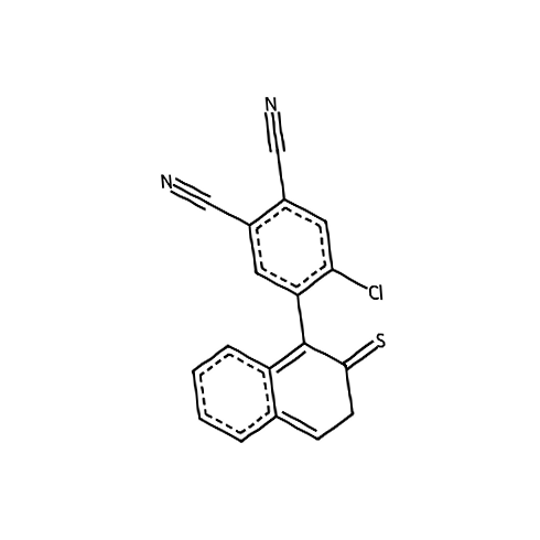 N#Cc1cc(Cl)c(C2=c3ccccc3=CCC2=S)cc1C#N